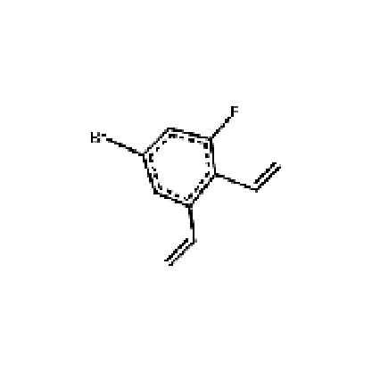 C=Cc1cc(Br)cc(F)c1C=C